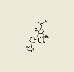 CCCCc1cn(C2C(CC)C2C(C)=O)c(=O)n1CC1(c2cccc(-c3nnn[nH]3)c2)C=CN=CC1